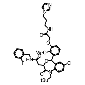 COc1c(OCC(=O)NCCCn2ccnc2)cccc1C1OC(CC(=O)NCc2ccccc2F)C(=O)N(CC(C)(C)C)c2ccc(Cl)cc21